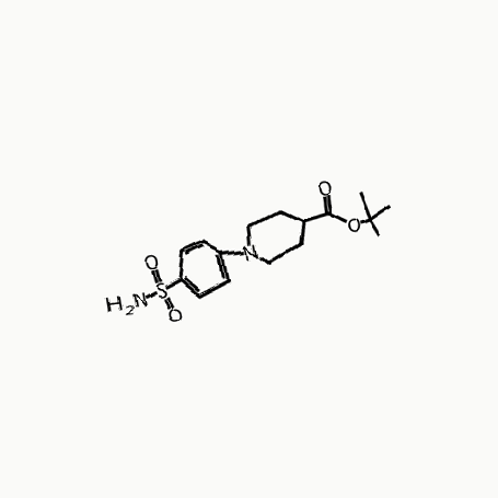 CC(C)(C)OC(=O)C1CCN(c2ccc(S(N)(=O)=O)cc2)CC1